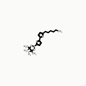 CCCCCCc1ccc(-c2ccc(B3OC(C)(C)C(C)(C)O3)s2)s1